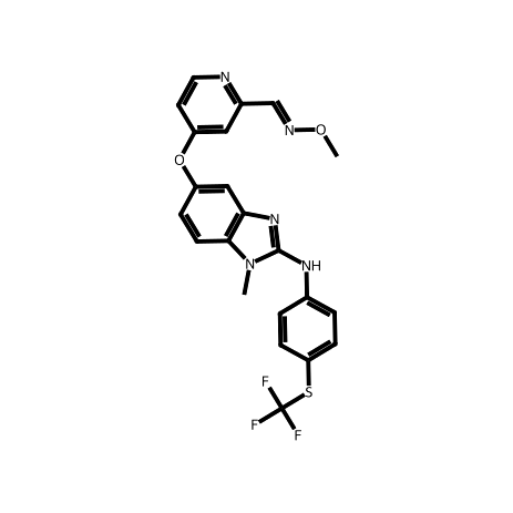 CON=Cc1cc(Oc2ccc3c(c2)nc(Nc2ccc(SC(F)(F)F)cc2)n3C)ccn1